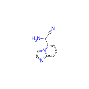 N#CC(N)c1cccc2nccn12